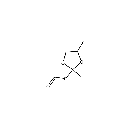 CC1COC(C)(OC=O)O1